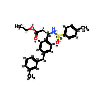 CCOC(=O)C[C@H](N[S@+]([O-])c1ccc(C)cc1)c1ccc(Cc2cccc(C)c2)cc1